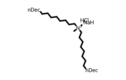 CCCCCCCCCCCCCCCCCC[N+](C)(C)CCCCCCCCCCCCCCCCCC.Cl.[NaH]